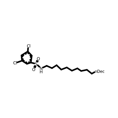 CCCCCCCCCCCCCCCCCCCCNS(=O)(=O)c1cc(Cl)cc(Cl)c1